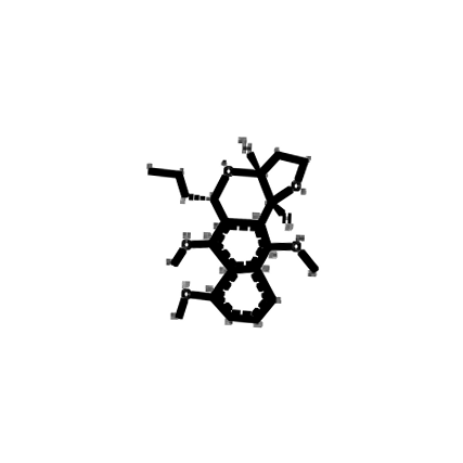 CCC[C@@H]1O[C@@H]2CCO[C@@H]2c2c1c(OC)c1c(OC)cccc1c2OC